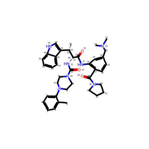 Cc1ccccc1N1CCN(C(=O)N[C@@H](C(=O)Nc2cc(CN(C)C)ccc2C(=O)N2CCCC2)[C@@H](C)c2c[nH]c3ccccc23)CC1